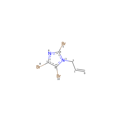 C=CCn1c(Br)nc(Br)c1Br